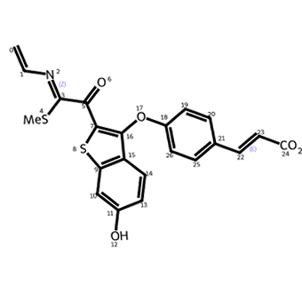 C=C/N=C(\SC)C(=O)c1sc2cc(O)ccc2c1Oc1ccc(/C=C/C(=O)O)cc1